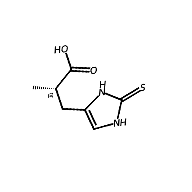 C[C@@H](Cc1c[nH]c(=S)[nH]1)C(=O)O